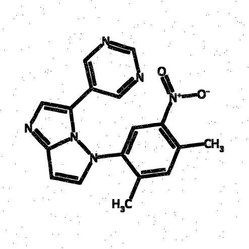 Cc1cc(C)c([N+](=O)[O-])cc1-n1ccc2ncc(-c3cncnc3)n21